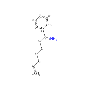 C=CCCCCC(N)c1ccccc1